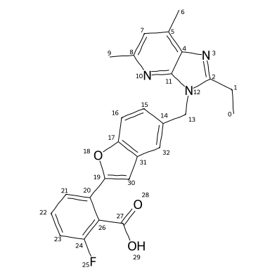 CCc1nc2c(C)cc(C)nc2n1Cc1ccc2oc(-c3cccc(F)c3C(=O)O)cc2c1